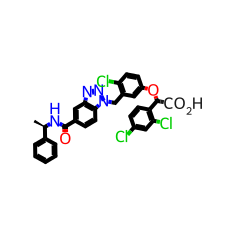 C[C@@H](NC(=O)c1ccc2c(c1)nnn2Cc1cc(OC(C(=O)O)c2ccc(Cl)cc2Cl)ccc1Cl)c1ccccc1